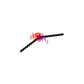 CCCCCCCCCCCCCCCCCCCC(=O)N(P)C(CO)(C(=O)O)C(=O)CCCCCCCCCCCCCCCCCCC